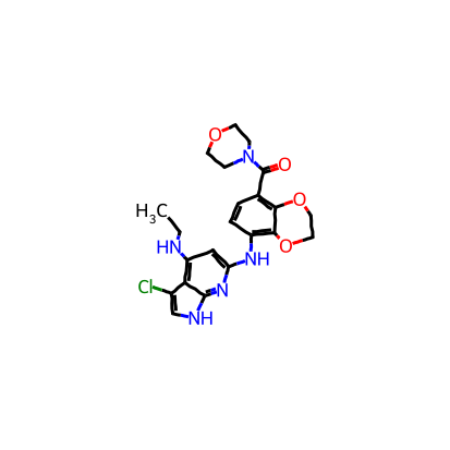 CCNc1cc(Nc2ccc(C(=O)N3CCOCC3)c3c2OCCO3)nc2[nH]cc(Cl)c12